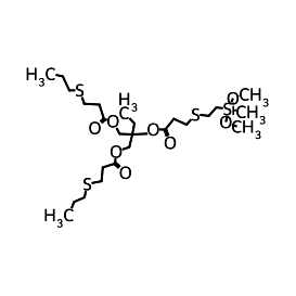 CCCSCCC(=O)OCC(CC)(COC(=O)CCSCCC)COC(=O)CCSCC[Si](C)(OC)OC